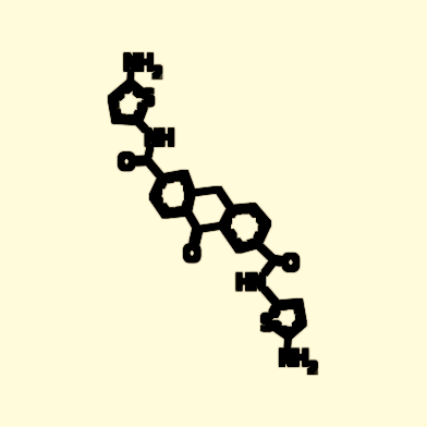 Nc1ccc(NC(=O)c2ccc3c(c2)Cc2ccc(C(=O)Nc4ccc(N)s4)cc2C3=O)s1